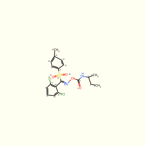 CCC(C)NC(=O)ON=C(c1c(Cl)cccc1Cl)S(=O)(=O)c1ccc(C)cc1